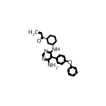 C=CC(=O)[C@H]1CCC[C@H](Nc2ncnc(N)c2-c2ccc(Oc3ccccc3)cc2)C1